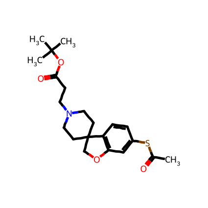 CC(=O)Sc1ccc2c(c1)OCC21CCN(CCC(=O)OC(C)(C)C)CC1